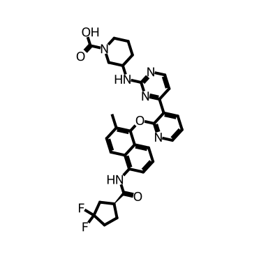 Cc1ccc2c(NC(=O)[C@H]3CCC(F)(F)C3)cccc2c1Oc1ncccc1-c1ccnc(NC2CCCN(C(=O)O)C2)n1